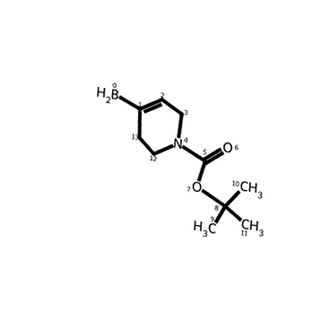 BC1=CCN(C(=O)OC(C)(C)C)CC1